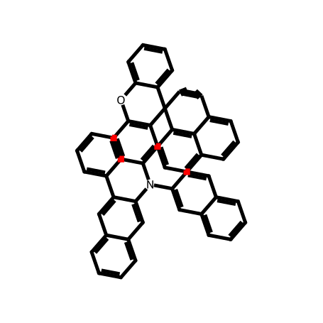 c1ccc(-c2cc3ccccc3cc2N(c2ccc3c(c2)C2(c4ccccc4O3)c3ccccc3-c3cccc4cccc2c34)c2ccc3ccccc3c2)cc1